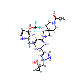 CC(=O)N1CCC2(CC1)CN(c1cc(Nc3cc(OC(F)(F)F)ccn3)nc(-c3cnn(CC4(O)CC4)c3)n1)C2